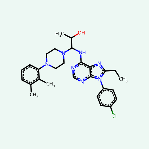 CCc1nc2c(NC(C(C)O)N3CCN(c4cccc(C)c4C)CC3)ncnc2n1-c1ccc(Cl)cc1